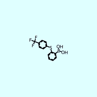 OB(O)c1ccccc1Sc1ccc(C(F)(F)F)cc1